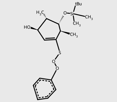 C[C@@H]1[C@H](O[Si](C)(C)C(C)(C)C)[C@@H](C)C(SOOc2ccccc2)=C[C@H]1O